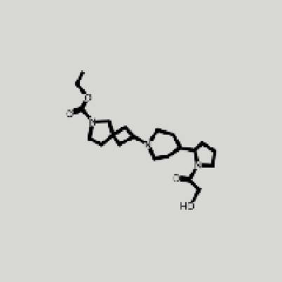 CCOC(=O)N1CCC2(CC(N3CCC(C4CCCN4C(=O)CO)CC3)C2)C1